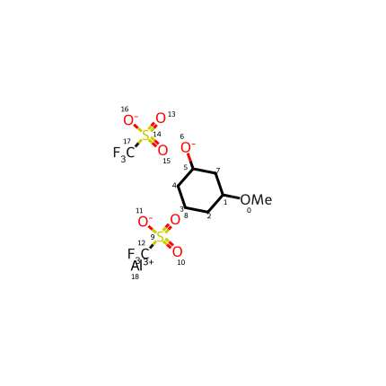 COC1CCCC([O-])C1.O=S(=O)([O-])C(F)(F)F.O=S(=O)([O-])C(F)(F)F.[Al+3]